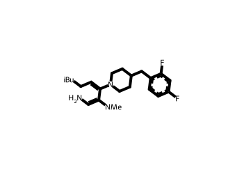 CCC(C)C/C=C(\C(=C/N)NC)N1CCC(Cc2ccc(F)cc2F)CC1